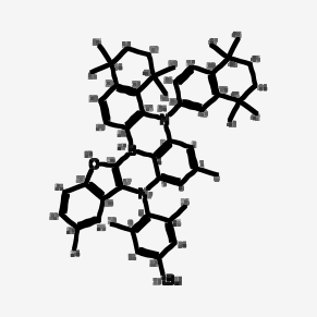 Cc1cc2c3c(c1)N(c1c(C)cc(C(C)(C)C)cc1C)c1c(oc4ccc(C)cc14)B3c1ccc3c(c1N2c1ccc2c(c1)C(C)(C)CCC2(C)C)C(C)(C)CCC3(C)C